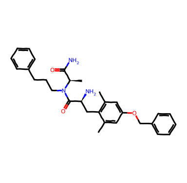 Cc1cc(OCc2ccccc2)cc(C)c1C[C@H](N)C(=O)N(CCCc1ccccc1)[C@H](C)C(N)=O